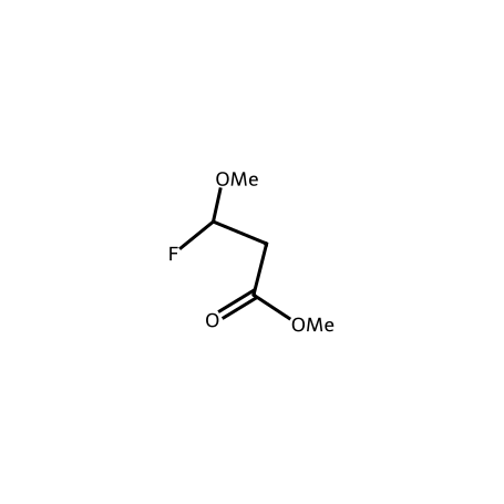 COC(=O)CC(F)OC